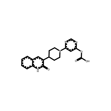 O=C(O)Oc1cc(N2CCC(c3cc4ccccc4[nH]c3=O)CC2)ncn1